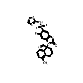 Cc1cccc2c1CC=CC2(C=O)n1c(=O)oc2cc(S(=O)(=O)Nc3ncns3)c(F)cc21